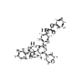 CC(C)(c1cc(N2CCOCC2)nc(-c2ccc(NC(=O)Oc3ccccc3)cc2)n1)S(=O)(=O)c1ccccn1